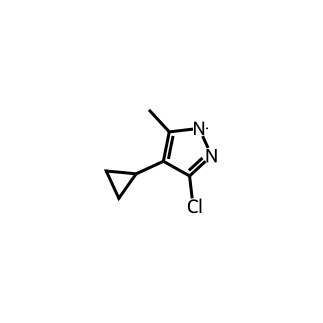 CC1=C(C2CC2)C(Cl)=N[N]1